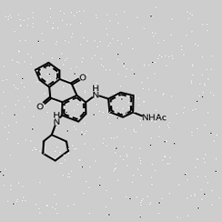 CC(=O)Nc1ccc(Nc2ccc(NC3CCCCC3)c3c2C(=O)c2ccccc2C3=O)cc1